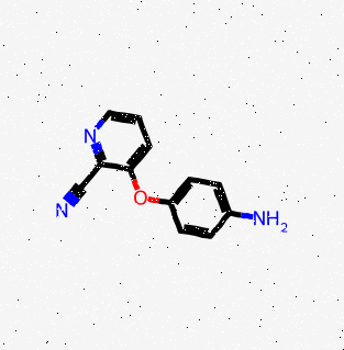 N#Cc1ncccc1Oc1ccc(N)cc1